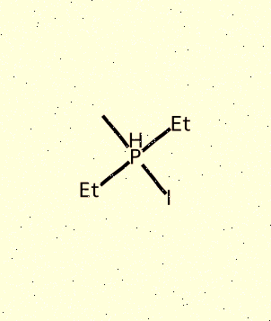 CC[PH](C)(I)CC